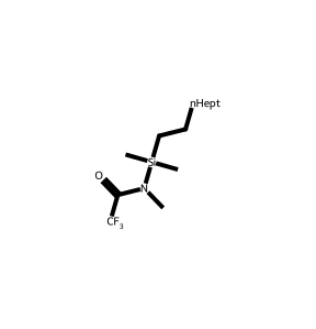 CCCCCCCCC[Si](C)(C)N(C)C(=O)C(F)(F)F